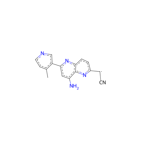 Cc1ccncc1-c1cc(N)c2nc([CH]C#N)ccc2n1